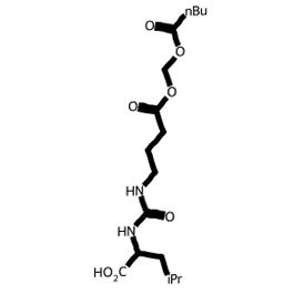 CCCCC(=O)OCOC(=O)CCCNC(=O)NC(CC(C)C)C(=O)O